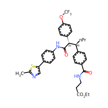 CCC[C@@H](c1ccc(C(=O)NCCC(=O)OCC)cc1)[C@H](C(=O)Nc1ccc(-c2cnc(C)s2)cc1)c1ccc(OC(F)(F)F)cc1